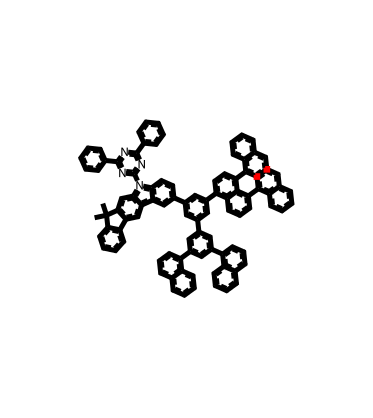 CC1(C)c2ccccc2-c2cc3c4cc(-c5cc(-c6cc(-c7cccc8ccccc78)cc(-c7cccc8ccccc78)c6)cc(-c6ccc(-c7cccc8ccccc78)c7c(-c8cccc9ccccc89)cccc67)c5)ccc4n(-c4nc(-c5ccccc5)nc(-c5ccccc5)n4)c3cc21